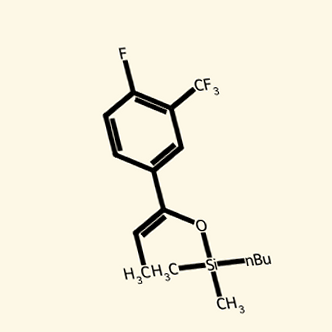 C/C=C(\O[Si](C)(C)CCCC)c1ccc(F)c(C(F)(F)F)c1